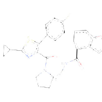 O=C(NC[C@@H]1CCCN1C(=O)c1nc(C2CC2)sc1-c1ccc(F)cc1)c1cccc2occc12